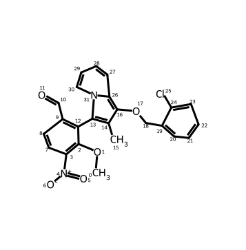 COc1c([N+](=O)[O-])ccc(C=O)c1-c1c(C)c(OCc2ccccc2Cl)c2ccccn12